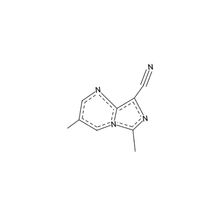 Cc1cnc2c(C#N)nc(C)n2c1